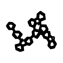 c1ccc(-c2ccc(-n3c4ccccc4c4ccc(-c5cc(-c6ccc7oc8ccccc8c7c6)cc(-c6cccc7c8ccccc8n(-c8ccccc8)c67)c5)cc43)cc2)cc1